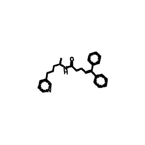 CC(CCCc1cccnc1)NC(=O)CCC=C(c1ccccc1)c1ccccc1